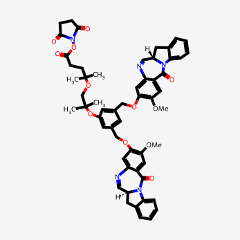 COc1cc2c(cc1OCc1cc(COc3cc4c(cc3OC)C(=O)N3c5ccccc5C[C@H]3C=N4)cc(OC(C)(C)COC(C)(C)CCC(=O)ON3C(=O)CCC3=O)c1)N=C[C@@H]1Cc3ccccc3N1C2=O